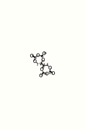 O=C1OC[C@@H]([C@H]2COC(=O)OC(=O)O2)OC(=O)O1